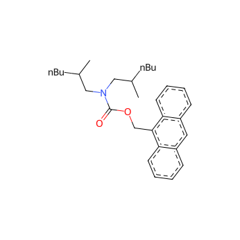 CCCCC(C)CN(CC(C)CCCC)C(=O)OCc1c2ccccc2cc2ccccc12